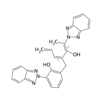 C=C/C=C(Cc1cccc(-n2nc3ccccc3n2)c1O)\C(O)=C(/C)n1nc2ccccc2n1